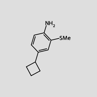 CSc1cc(C2CCC2)ccc1N